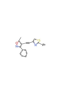 Cc1onc(-c2ccccc2)c1C#Cc1csc(C(C)C)n1